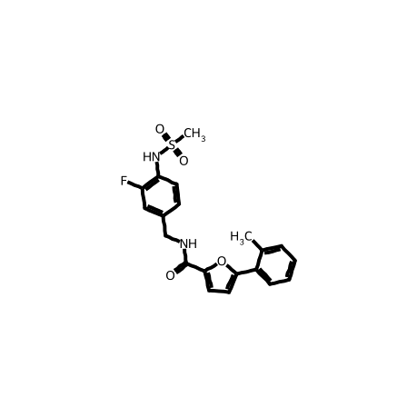 Cc1ccccc1-c1ccc(C(=O)NCc2ccc(NS(C)(=O)=O)c(F)c2)o1